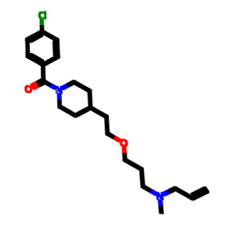 C=CCN(C)CCCOCCC1CCN(C(=O)c2ccc(Cl)cc2)CC1